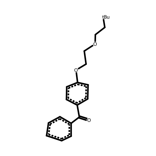 CC(C)(C)CCOCCOc1ccc(C(=O)c2ccccc2)cc1